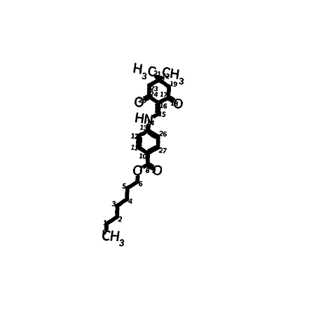 CCCCCCCOC(=O)c1ccc(NC=C2C(=O)CC(C)(C)CC2=O)cc1